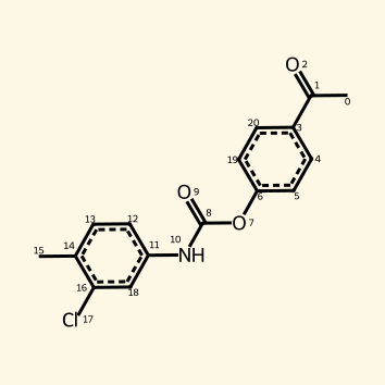 CC(=O)c1ccc(OC(=O)Nc2ccc(C)c(Cl)c2)cc1